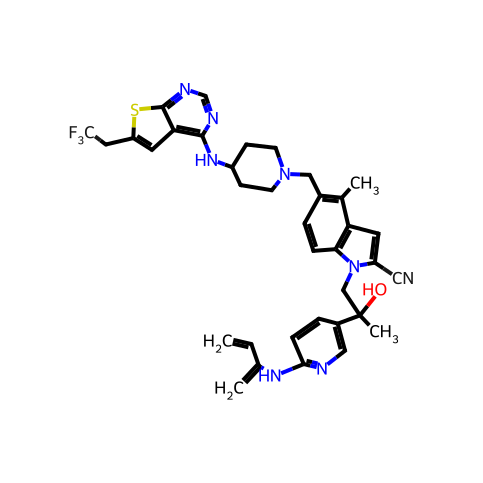 C=CC(=C)Nc1ccc(C(C)(O)Cn2c(C#N)cc3c(C)c(CN4CCC(Nc5ncnc6sc(CC(F)(F)F)cc56)CC4)ccc32)cn1